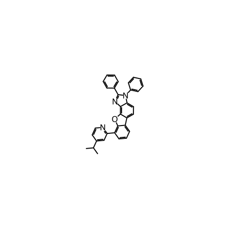 CC(C)c1ccnc(-c2cccc3c2oc2c3ccc3c2nc(-c2ccccc2)n3-c2ccccc2)c1